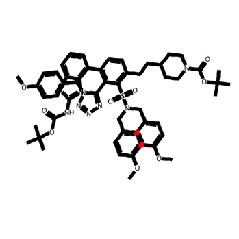 COc1ccc(CN(Cc2ccc(OC)cc2)S(=O)(=O)c2c(CCC3CCN(C(=O)OC(C)(C)C)CC3)ccc(-c3cccc4sc(NC(=O)OC(C)(C)C)nc34)c2-c2nnnn2Cc2ccc(OC)cc2)cc1